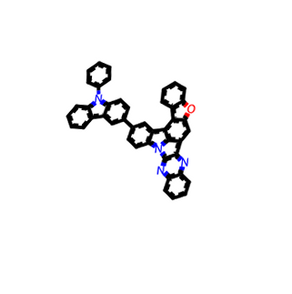 c1ccc(-n2c3ccccc3c3cc(-c4ccc5c(c4)c4c6c(cc7c8nc9ccccc9nc8n5c74)oc4ccccc46)ccc32)cc1